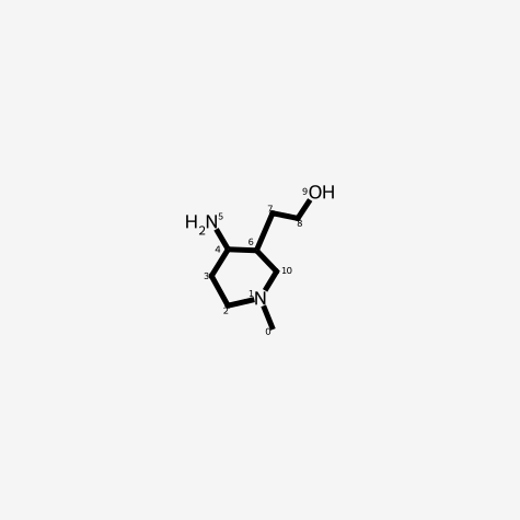 CN1CCC(N)C(CCO)C1